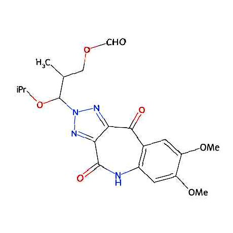 COc1cc2[nH]c(=O)c3nn(C(OC(C)C)C(C)COC=O)nc3c(=O)c2cc1OC